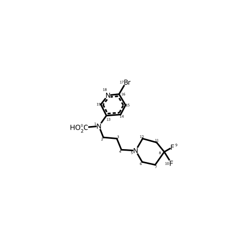 O=C(O)N(CCCN1CCC(F)(F)CC1)c1ccc(Br)nc1